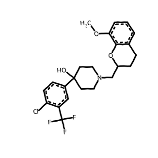 COc1cccc2c1OC(CN1CCC(O)(c3ccc(Cl)c(C(F)(F)F)c3)CC1)CC2